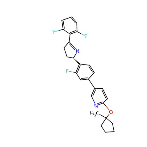 CC1(Oc2ccc(-c3ccc([C@H]4CCC(c5c(F)cccc5F)=N4)c(F)c3)cn2)CCCC1